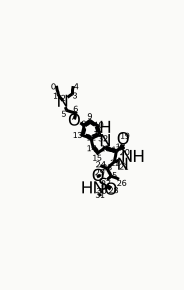 CCN(CC)CCOc1ccc2c(c1)C=C/C(=C1/C(=O)NN=C1C(C)C(C)S(=O)(=O)NC)N2